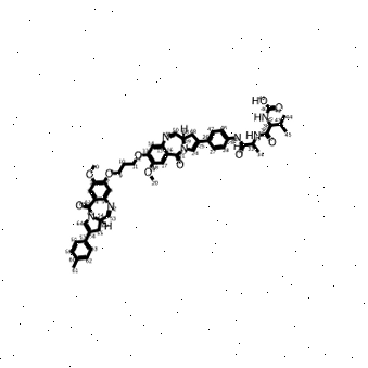 COc1cc2c(cc1OCCCOc1cc3c(cc1OC)C(=O)N1C=C(c4ccc(NC(=O)C(C)NC(=O)C(NC(=O)O)C(C)C)cc4)C[C@H]1C=N3)N=C[C@@H]1CC(c3ccc(C)cc3)=CN1C2=O